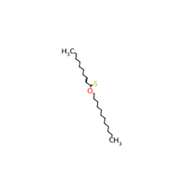 CCCCCCCC=CC(=S)OCCCCCCCCCCCC